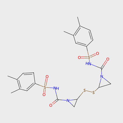 Cc1ccc(S(=O)(=O)NC(=O)N2CC2SSC2CN2C(=O)NS(=O)(=O)c2ccc(C)c(C)c2)cc1C